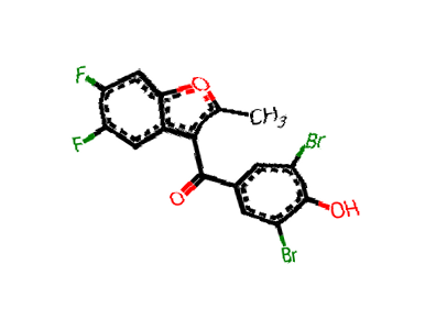 Cc1oc2cc(F)c(F)cc2c1C(=O)c1cc(Br)c(O)c(Br)c1